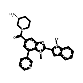 CCn1c(-c2nc3cc(C(=O)N4CCC[C@@H](N)C4)cc(-c4cccnc4)c3n2C)cc2ccccc21